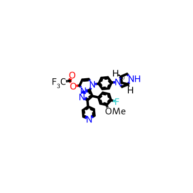 COc1cc(-c2c(-c3ccncc3)nn3c2N(c2ccc(N4C[C@@H]5C[C@H]4CN5)cc2)C=CC3OC(=O)C(F)(F)F)ccc1F